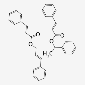 CC(OC(=O)C=Cc1ccccc1)c1ccccc1.O=C(C=Cc1ccccc1)OCC=Cc1ccccc1